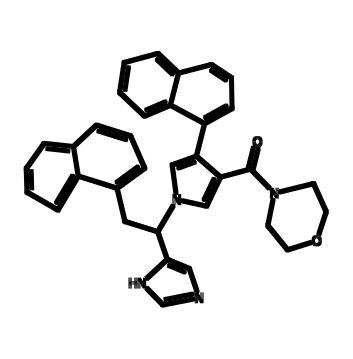 O=C(c1cn(C(Cc2cccc3ccccc23)c2cnc[nH]2)cc1-c1cccc2ccccc12)N1CCOCC1